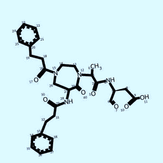 CC(C(=O)N[C@H](C=O)CC(=O)O)N1CCN(C(=O)CCc2ccccc2)CC(NC(=O)CCc2ccccc2)C1=O